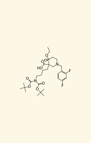 CCOP1(=O)CCN(Cc2ccc(F)cc2F)CC1(CCCCN(C(=O)OC(C)(C)C)C(=O)OC(C)(C)C)C(=O)O